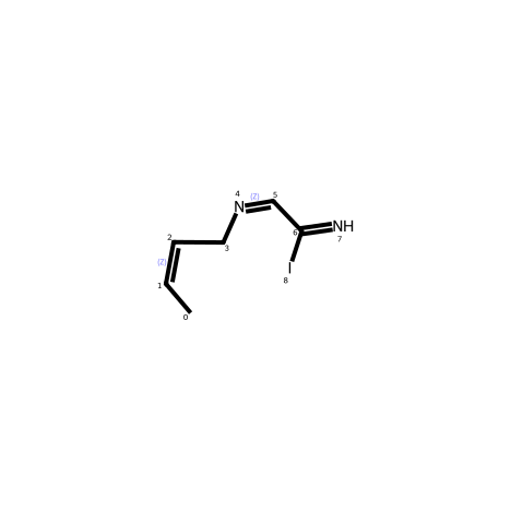 C/C=C\C/N=C\C(=N)I